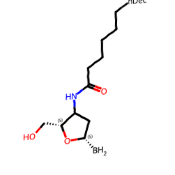 B[C@H]1CC(NC(=O)CCCCCCCCCCCCCCC)[C@@H](CO)O1